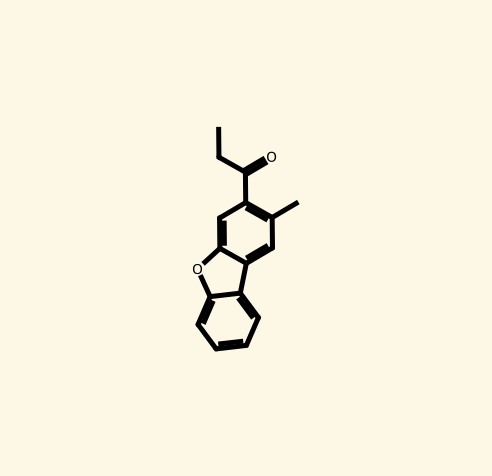 CCC(=O)c1cc2oc3ccccc3c2cc1C